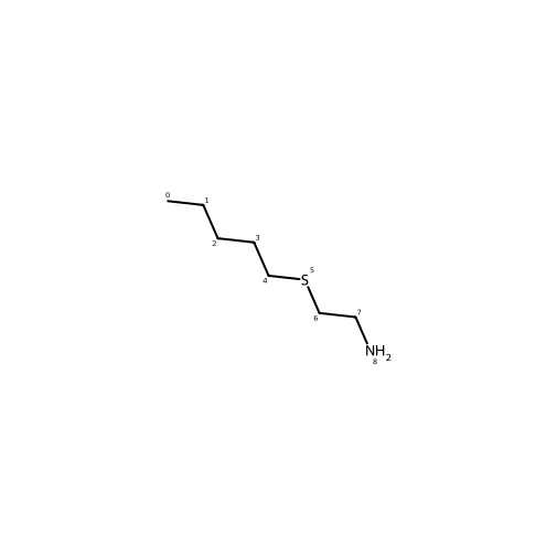 CCCCCSCCN